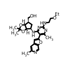 CCOCCNc1nc(C)c(-c2cc3cc(C)ncc3o2)c(N[C@@H]2C[C@H](CO)[C@H]3OC(C)(C)O[C@H]32)n1